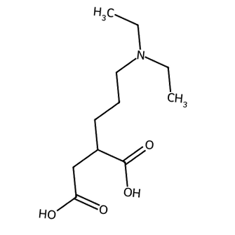 CCN(CC)CCCC(CC(=O)O)C(=O)O